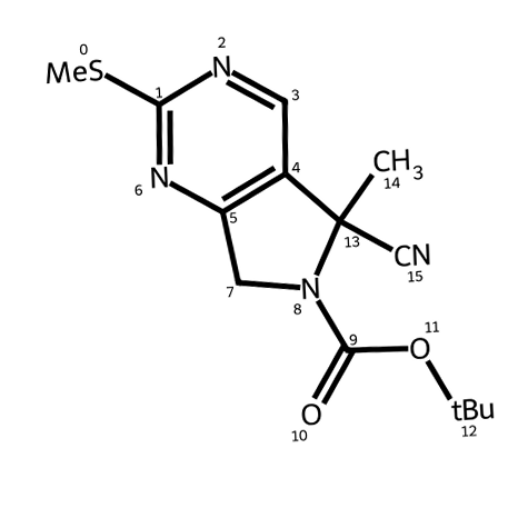 CSc1ncc2c(n1)CN(C(=O)OC(C)(C)C)C2(C)C#N